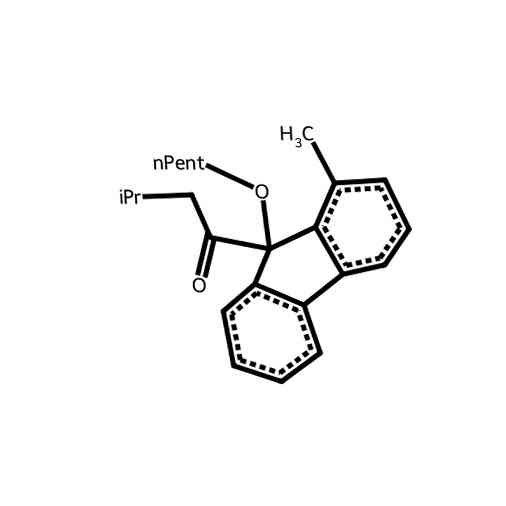 CCCCCOC1(C(=O)CC(C)C)c2ccccc2-c2cccc(C)c21